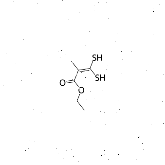 CCOC(=O)C(C)=C(S)S